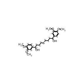 COc1ccc(C(O)CCCSCCCC(O)c2ccc(OC)c(OC)c2)cc1OC